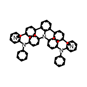 N#Cc1ccc(-c2cccc(-c3ccc(C#N)cc3)c2N(c2ccc(N(c3ccccc3)c3ccccc3)cc2)c2ccc(N(c3ccccc3)c3ccccc3)cc2)cc1